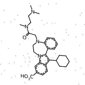 CN(C)CCN(C)C(=O)CN1CCn2c(c(C3CCCCC3)c3ccc(C(=O)O)cc32)-c2ccccc21